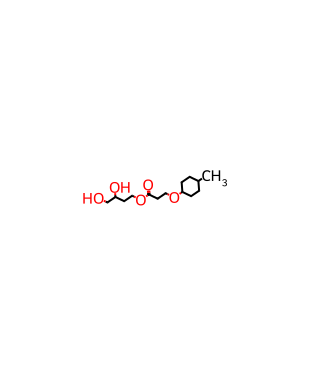 CC1CCC(OCCC(=O)OCCC(O)CO)CC1